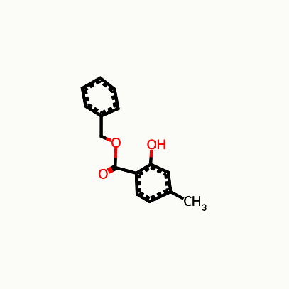 Cc1ccc(C(=O)OCc2ccccc2)c(O)c1